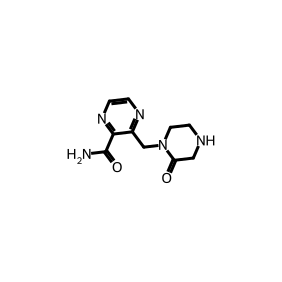 NC(=O)c1nccnc1CN1CCNCC1=O